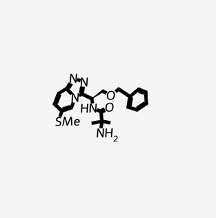 CSc1ccc2nnc([C@@H](COCc3ccccc3)NC(=O)C(C)(C)N)n2c1